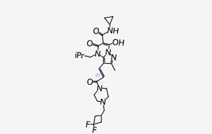 Cc1nn2c(O)c(C(=O)NC3CC3)c(=O)n(CC(C)C)c2c1/C=C/C(=O)N1CCN(CC2CC(F)(F)C2)CC1